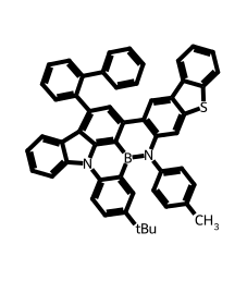 Cc1ccc(N2B3c4cc(C(C)(C)C)ccc4-n4c5ccccc5c5c(-c6ccccc6-c6ccccc6)cc(c3c54)-c3cc4c(cc32)sc2ccccc24)cc1